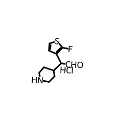 Cl.O=CC(c1ccsc1F)C1CCNCC1